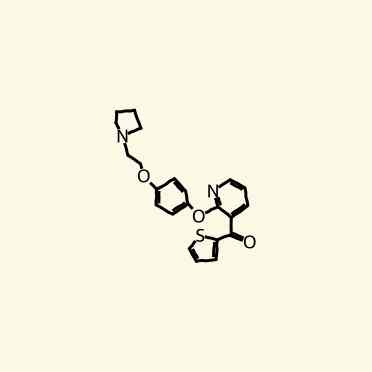 O=C(c1cccs1)c1cccnc1Oc1ccc(OCCN2CCCC2)cc1